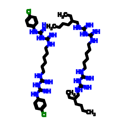 CCCCC(CC)CNC(=N)NC(=N)NCCCCCCNC(=N)NC(=N)NCC(CC)CCCC.N=C(NCCCCCCNC(=N)NC(=N)Nc1ccc(Cl)cc1)NC(=N)Nc1ccc(Cl)cc1